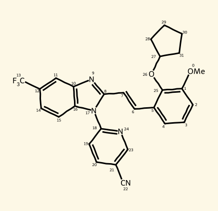 COc1cccc(/C=C/c2nc3cc(C(F)(F)F)ccc3n2-c2ccc(C#N)cn2)c1OC1CCCC1